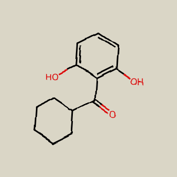 O=C(c1c(O)cccc1O)C1CCCCC1